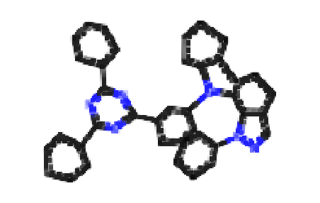 c1ccc(-c2nc(-c3ccccc3)nc(-c3cccc(-n4c5ccccc5c5ccc6cnn(-c7ccccc7)c6c54)c3)n2)cc1